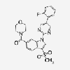 CS(=O)(=O)c1cn(-c2ncc(-c3ccccc3F)cn2)c2cc(C(=O)N3CCOCC3)ccc12